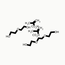 C=C(C)C(=O)O.C=C(C)C(=O)O.OCCOCCO.OCCOCCOCCO